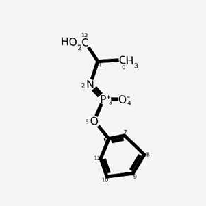 CC(/N=[P+](\[O-])Oc1ccccc1)C(=O)O